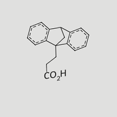 O=C(O)CCC12CC(c3ccccc31)c1ccccc12